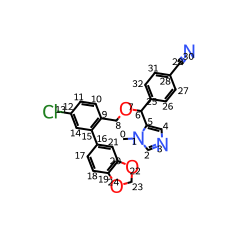 Cn1cncc1C(OCc1ccc(Cl)cc1-c1ccc2c(c1)OCO2)c1ccc(C#N)cc1